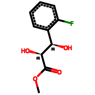 COC(=O)[C@H](O)[C@@H](O)c1ccccc1F